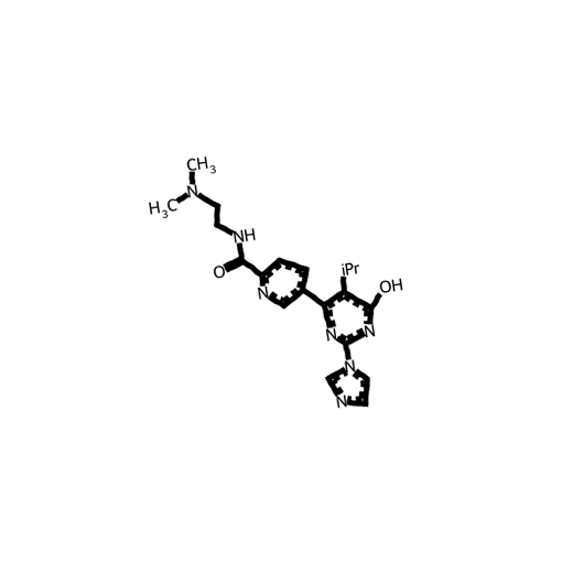 CC(C)c1c(O)nc(-n2ccnc2)nc1-c1ccc(C(=O)NCCN(C)C)nc1